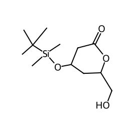 CC(C)(C)[Si](C)(C)OC1CC(=O)OC(CO)C1